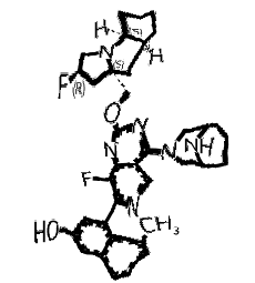 Cc1cccc2cc(O)cc(-c3ncc4c(N5CC6CCC(C5)N6)nc(OC[C@]56C[C@@H](F)CN5[C@H]5CCC[C@H]5C6)nc4c3F)c12